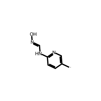 [CH2]c1ccc(NC=NO)nc1